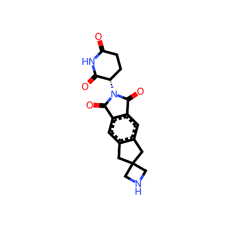 O=C1CC[C@H](N2C(=O)c3cc4c(cc3C2=O)CC2(CNC2)C4)C(=O)N1